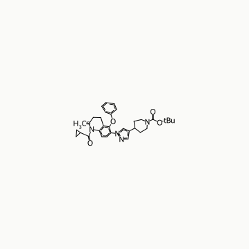 C[C@H]1CCc2c(ccc(-n3cc(C4CCN(C(=O)OC(C)(C)C)CC4)cn3)c2Oc2ccccc2)N1C(=O)C1CC1